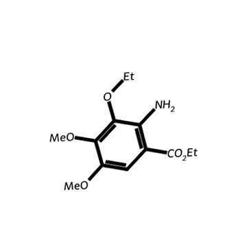 CCOC(=O)c1cc(OC)c(OC)c(OCC)c1N